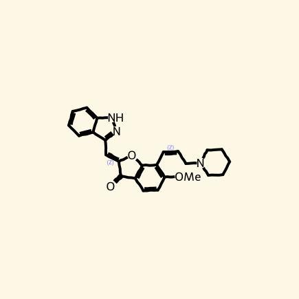 COc1ccc2c(c1/C=C\CN1CCCCC1)O/C(=C\c1n[nH]c3ccccc13)C2=O